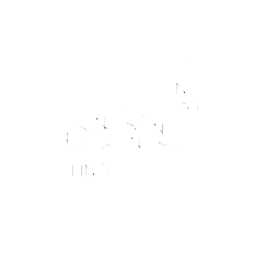 C[C@H](NC(=O)c1c(CN2CCN(CCC(=O)N3CCOCC3)C(=O)C2)c(-c2cccs2)nc2ccccc12)C1CCCCC1